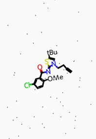 C#CCCn1cc(C(C)(C)C)sc1=NC(=O)c1cc(Cl)ccc1OC